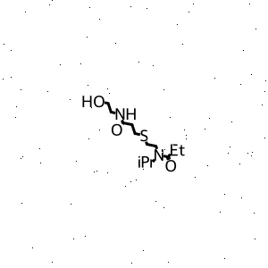 CCC(=O)N(CCSCCC(=O)NCCO)C(C)C